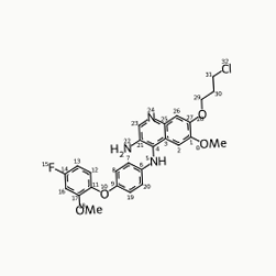 COc1cc2c(Nc3ccc(Oc4ccc(F)cc4OC)cc3)c(N)cnc2cc1OCCCCl